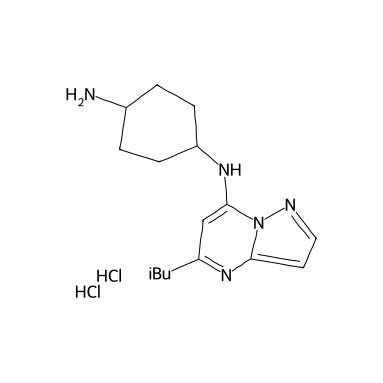 CCC(C)c1cc(NC2CCC(N)CC2)n2nccc2n1.Cl.Cl